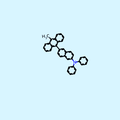 Cc1c2ccccc2c(-c2ccc3cc(N(c4ccccc4)c4ccccc4)ccc3c2)c2ccccc12